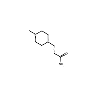 CN1CCC([CH]CC(N)=O)CC1